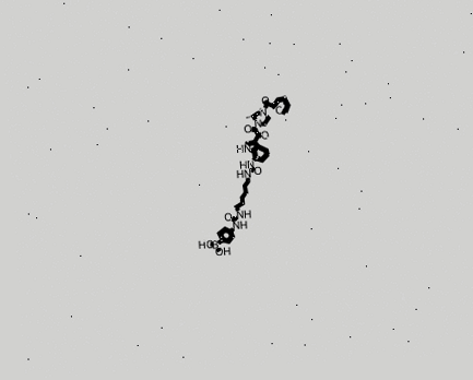 C[C@@H]1CN(C(=O)c2ccccc2)CCN1C(=O)C(=O)c1c[nH]c2c(NC(=O)NCCCCCCNC(=O)Nc3ccc(B(O)O)cc3)cccc12